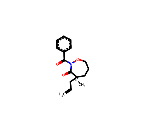 C=CC[C@]1(C)CCCON(C(=O)c2ccccc2)C1=O